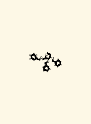 C1=C[C@@H](OCc2ccccc2)C(OCc2ccccc2)C(COCc2ccccc2)O1